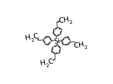 C=Cc1ccc([Si](c2ccc(C=C)cc2)(c2ccc(C=C)cc2)c2ccc(C=C)cc2)cc1